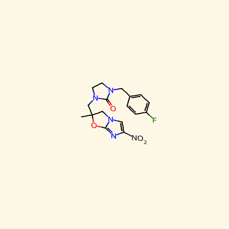 CC1(CN2CCN(Cc3ccc(F)cc3)C2=O)Cn2cc([N+](=O)[O-])nc2O1